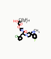 CN1CC2(CCN(CC(Cc3ccccc3Cl)C(=O)N3CC(OC(=O)CC(O)(CC(=O)O)C(=O)O)C3)CC2)c2cc(F)ccc21